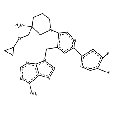 Nc1ncnc2c1ncn2Cc1cc(-c2ccc(F)c(F)c2)ncc1N1CCCC(N)(COC2CC2)C1